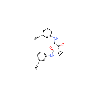 C#Cc1cccc(NCC(=O)C2(C(=O)Nc3cccc(C#C)c3)CC2)c1